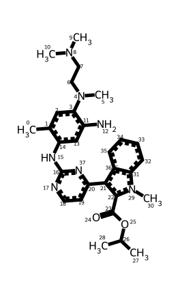 Cc1cc(N(C)CCN(C)C)c(N)cc1Nc1nccc(-c2c(C(=O)OC(C)C)n(C)c3ccccc23)n1